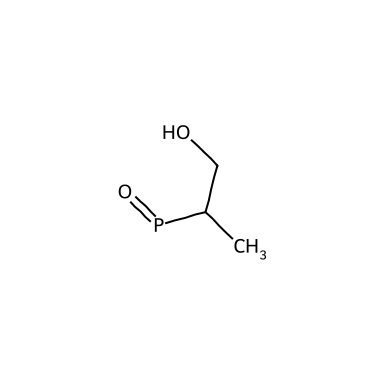 CC(CO)P=O